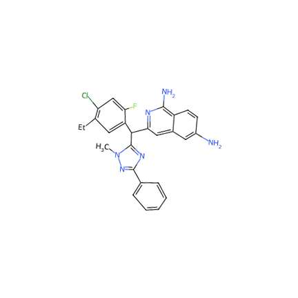 CCc1cc(C(c2cc3cc(N)ccc3c(N)n2)c2nc(-c3ccccc3)nn2C)c(F)cc1Cl